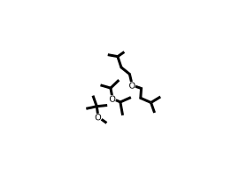 CC(C)CCOCCC(C)C.CC(C)OC(C)C.COC(C)(C)C